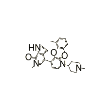 Cc1cccc(C)c1Oc1c(-c2cn(C)c(=O)c3[nH]ccc23)ccn(C2CCN(C)CC2)c1=O